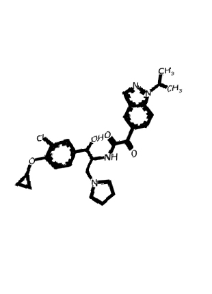 CC(C)n1ncc2cc(C(=O)C(=O)NC(CN3CCCC3)C(O)c3ccc(OC4CC4)c(Cl)c3)ccc21